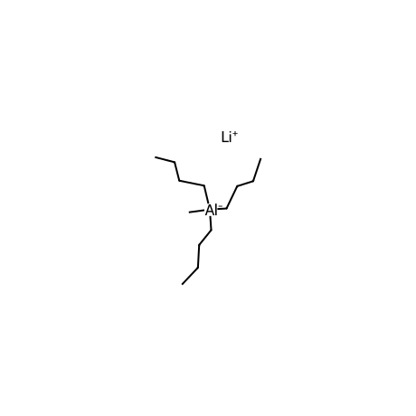 CCC[CH2][Al-]([CH3])([CH2]CCC)[CH2]CCC.[Li+]